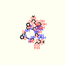 Cc1ccccc1N1C(=O)CNC(=O)C(CO)NC(=O)C(C(O)C2CN(C3OC(CO)C(O)C4OC(C)(C)OC43)C(=N)N2)NC(=O)C(C(O)C2CNC(=N)N2)NC(=O)C(Cc2ccc(OC3OC(CO)C(OC4OC(CO)C(O)C(O)C4O)C4OC(C)(C)OC34)cc2)NC(=O)C1C